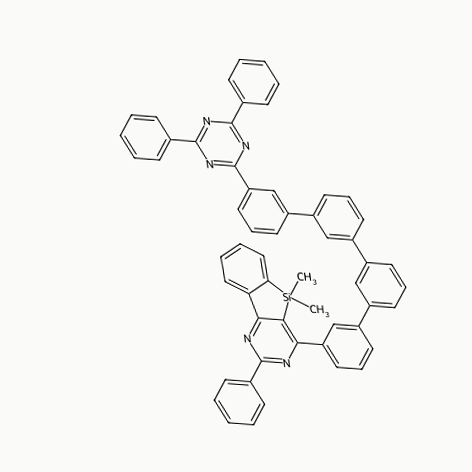 C[Si]1(C)c2ccccc2-c2nc(-c3ccccc3)nc(-c3cccc(-c4cccc(-c5cccc(-c6cccc(-c7nc(-c8ccccc8)nc(-c8ccccc8)n7)c6)c5)c4)c3)c21